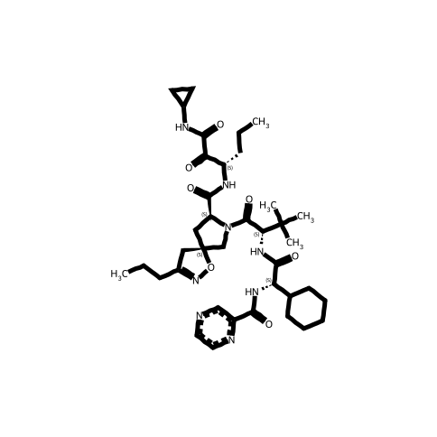 CCCC1=NO[C@]2(C1)C[C@@H](C(=O)N[C@@H](CCC)C(=O)C(=O)NC1CC1)N(C(=O)[C@@H](NC(=O)[C@@H](NC(=O)c1cnccn1)C1CCCCC1)C(C)(C)C)C2